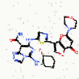 NC(=O)c1c(Nc2cnc(-c3coc4c(=O)cc(N5CCOCC5)oc34)s2)nc(N[C@@H]2CCCC[C@@H]2O)n2cnnc12